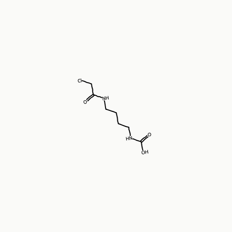 O=C(O)NCCCCNC(=O)CCl